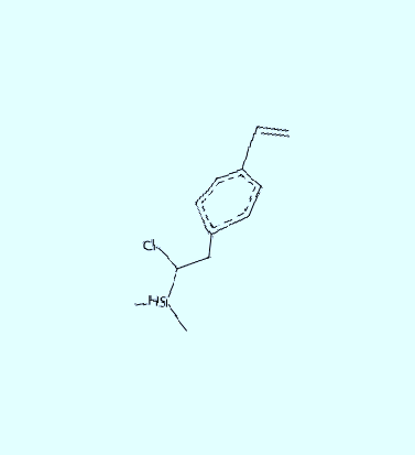 C=Cc1ccc(CC(Cl)[SiH](C)C)cc1